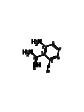 N=C(N)c1c(N)cccc1F